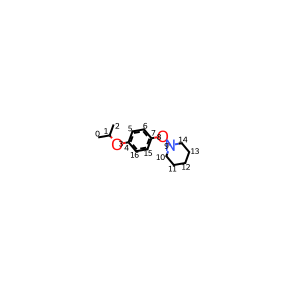 CC(C)Oc1ccc(ON2CCCCC2)cc1